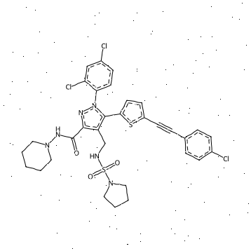 O=C(NN1CCCCC1)c1nn(-c2ccc(Cl)cc2Cl)c(-c2ccc(C#Cc3ccc(Cl)cc3)s2)c1CNS(=O)(=O)N1CCCC1